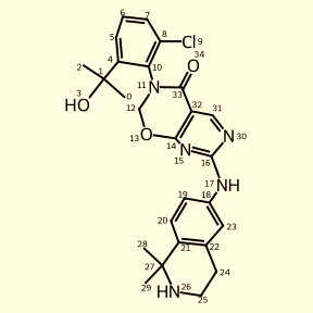 CC(C)(O)c1cccc(Cl)c1N1COc2nc(Nc3ccc4c(c3)CCNC4(C)C)ncc2C1=O